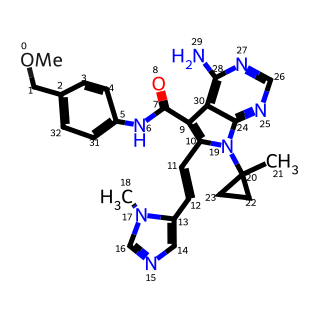 COCc1ccc(NC(=O)c2c(C=Cc3cncn3C)n(C3(C)CC3)c3ncnc(N)c23)cc1